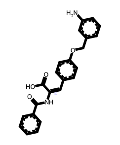 Nc1cccc(COc2ccc(/C=C(/NC(=O)c3ccccc3)C(=O)O)cc2)c1